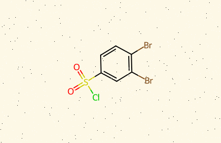 O=S(=O)(Cl)c1ccc(Br)c(Br)c1